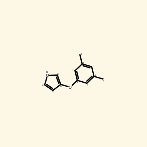 Cc1cc(C)cc(Oc2ccoc2)c1